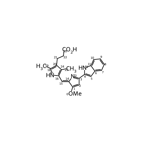 COC1=CC(c2cc3ccccc3[nH]2)=NC1=Cc1[nH]c(C)c(CCC(=O)O)c1C